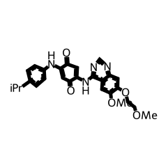 COCCOc1cc2ncnc(NC3=CC(=O)C(Nc4ccc(C(C)C)cc4)=CC3=O)c2cc1OC